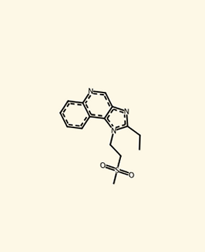 CCc1nc2cnc3ccccc3c2n1CCS(C)(=O)=O